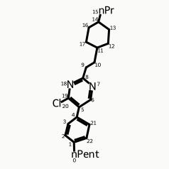 CCCCCc1ccc(-c2cnc(CCC3CCC(CCC)CC3)nc2Cl)cc1